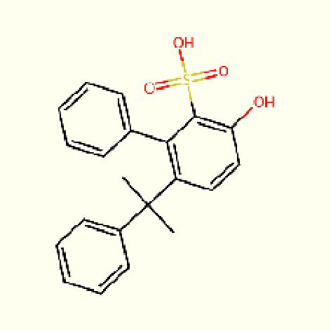 CC(C)(c1ccccc1)c1ccc(O)c(S(=O)(=O)O)c1-c1ccccc1